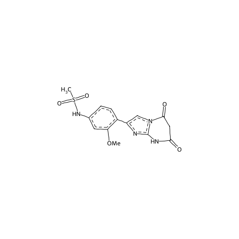 COc1cc(NS(C)(=O)=O)ccc1-c1cn2c(n1)NC(=O)CC2=O